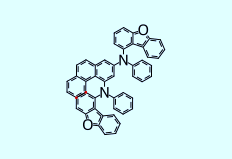 c1ccc(N(c2cc(N(c3ccccc3)c3cccc4oc5ccccc5c34)c3c(ccc4ccccc43)c2)c2cccc3oc4ccccc4c23)cc1